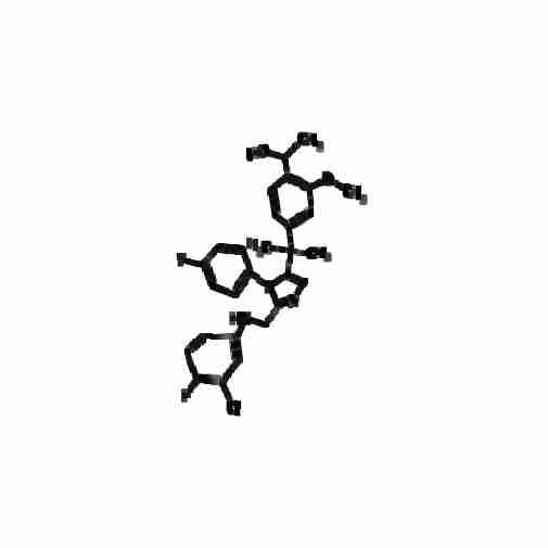 COc1cc(C(C)(C)c2cnc(CNc3ccc(F)c(Cl)c3)n2-c2ccc(F)cc2)ccc1C(C)O